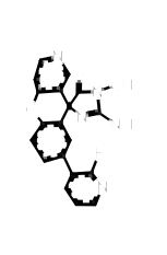 CN1C(=O)C2(N=C1N)c1cnccc1Oc1ccc(-c3cccnc3F)cc12